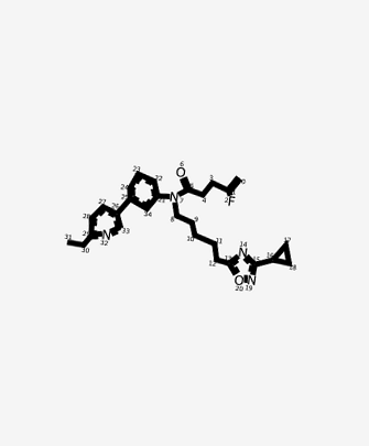 C=C(F)CCC(=O)N(CCCCCc1nc(C2CC2)no1)c1cccc(-c2ccc(CC)nc2)c1